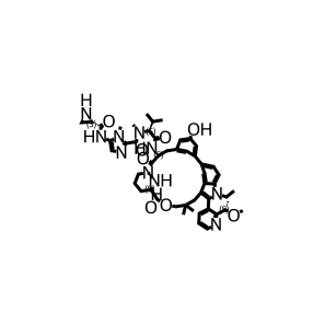 CCn1c(-c2cccnc2[C@H](C)OC)c2c3cc(ccc31)-c1cc(O)cc(c1)C[C@H](NC(=O)[C@H](C(C)C)N(C)C(=O)c1ncc(NC(=O)[C@@H]3CN3)n1C)C(=O)N1CCC[C@H](N1)C(=O)OCC(C)(C)C2